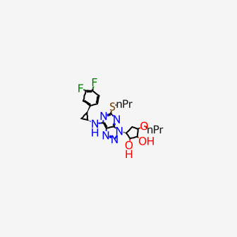 CCCOC1C[C@@H](n2nnc3c(N[C@@H]4C[C@H]4c4ccc(F)c(F)c4)nc(SCCC)nc32)[C@H](O)[C@@H]1O